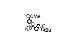 COC(=O)c1ccc(C2CN(C)CCN2C(=O)c2cccc3c2ccn3C(=O)OC(C)(C)C)cc1